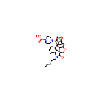 CCCCCN1C(=O)C2(COc3cc4c(cc32)OCO4)c2c(-c3ccccc3N3CCN(C(=O)O)CC3)cccc21